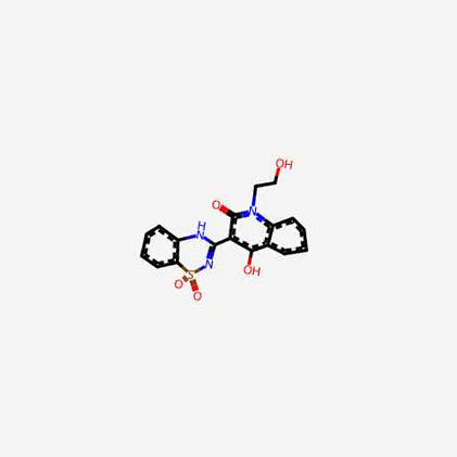 O=c1c(C2=NS(=O)(=O)c3ccccc3N2)c(O)c2ccccc2n1CCO